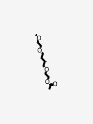 COCCOCC[CH]COCCOC(C)=O